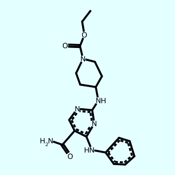 CCOC(=O)N1CCC(Nc2ncc(C(N)=O)c(Nc3ccccc3)n2)CC1